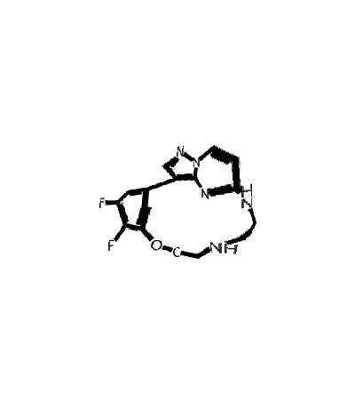 Fc1cc2cc(c1F)OCCNCCNc1ccn3ncc-2c3n1